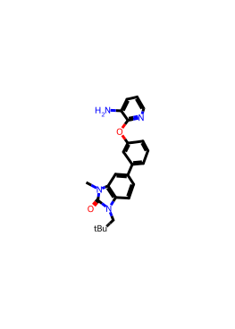 Cn1c(=O)n(CC(C)(C)C)c2ccc(-c3cccc(Oc4ncccc4N)c3)cc21